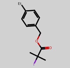 CCc1ccc(COC(=O)C(C)(C)I)cc1